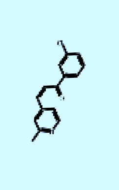 Cc1cc(/C=C\C(=O)c2cccc(Cl)c2)ccn1